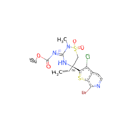 C=C[C@@]1(c2sc3c(Br)nccc3c2Cl)CS(=O)(=O)N(C)/C(=N/C(=O)OC(C)(C)C)N1